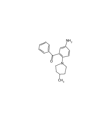 CC1CCN(c2ccc(N)cc2C(=O)c2ccccc2)CC1